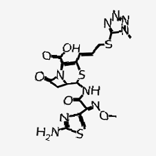 CON=C(C(=O)NC1SC(/C=C/CSc2nnnn2C)=C(C(=O)O)N2C(=O)CC12)c1csc(N)n1